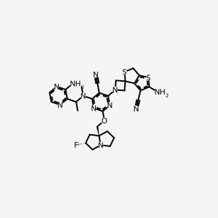 CC(c1nccnc1N)N(C)c1nc(OC[C@@]23CCCN2C[C@H](F)C3)nc(N2CC3(C2)SCc2sc(N)c(C#N)c23)c1C#N